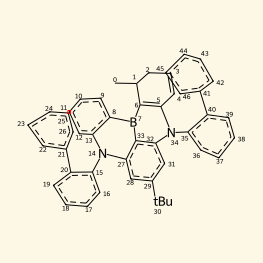 CC1CC=CC2=C1B1c3ccccc3N(c3ccccc3-c3ccccc3)c3cc(C(C)(C)C)cc(c31)N2c1ccccc1-c1ccccc1